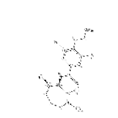 COCOc1c(C(C)C)cc(C(=O)N[C@H]2C(O)N(C(=O)O)CCC[C@H]2O)cc1C(C)C